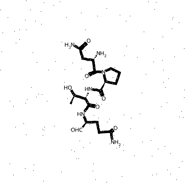 C[C@@H](O)[C@H](NC(=O)[C@@H]1CCCN1C(=O)[C@@H](N)CC(N)=O)C(=O)N[C@H]([C]=O)CCC(N)=O